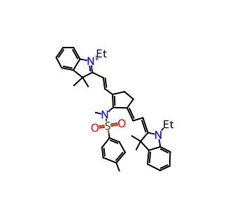 CCN1/C(=C/C=C2\CCC(/C=C/C3=[N+](CC)c4ccccc4C3(C)C)=C2N(C)S(=O)(=O)c2ccc(C)cc2)C(C)(C)c2ccccc21